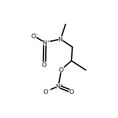 CC(CN(C)[N+](=O)[O-])O[N+](=O)[O-]